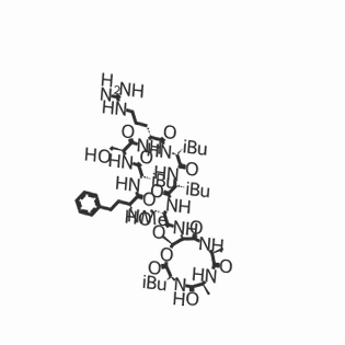 CC[C@@H](C)[C@@H](NC(=O)[C@@H](CCCNC(=N)N)NC(=O)[C@H](CO)NC(=O)[C@@H](NC(=O)[C@@H](CCc1ccccc1)NC)[C@@H](C)CC)C(=O)N[C@H](C(=O)N[C@@H](CO)C(=O)N[C@H]1C(=O)N[C@@H](C)C(=O)N[C@@H](C)C(=O)N[C@@H]([C@@H](C)CC)C(=O)O[C@H]1C)[C@@H](C)CC